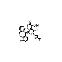 O=C1c2c(O)c(=O)ccn2N([C@@H]2c3ccccc3SCc3c(F)cccc32)CN1C12CC(F)(C1)C2